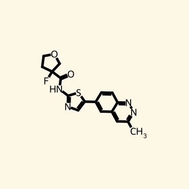 Cc1cc2cc(-c3cnc(NC(=O)C4(F)CCOC4)s3)ccc2nn1